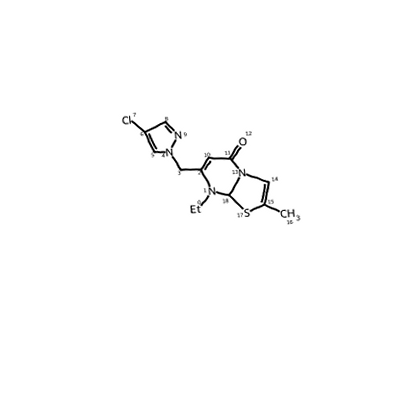 CCN1C(Cn2cc(Cl)cn2)=CC(=O)N2C=C(C)SC21